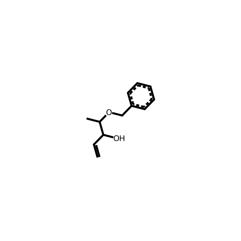 C=CC(O)C(C)OCc1ccccc1